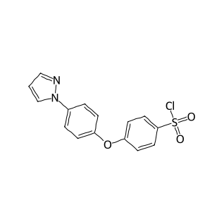 O=S(=O)(Cl)c1ccc(Oc2ccc(-n3cccn3)cc2)cc1